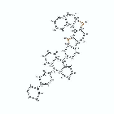 c1ccc(-c2ccc(-c3c4ccccc4c(-c4ccc5c(c4)sc4c5ccc5sc6ccc7ccccc7c6c54)c4ccccc34)cc2)cc1